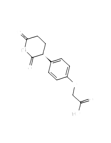 O=C(O)COc1ccc([C@@H]2CCC(=O)NC2=O)cc1